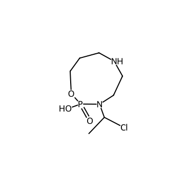 CC(Cl)N1CCNCCCOP1(=O)O